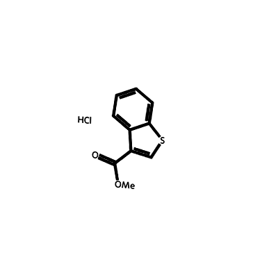 COC(=O)c1csc2ccccc12.Cl